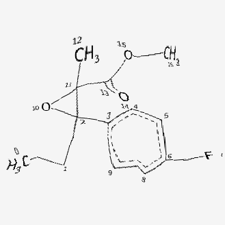 CCC1(c2ccc(F)cc2)OC1(C)C(=O)OC